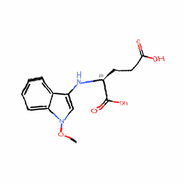 COn1cc(N[C@@H](CCC(=O)O)C(=O)O)c2ccccc21